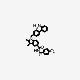 COc1ccc([C@H](C)NC(=O)c2ccc3c(c2)c(C)c(C)n3Cc2ccc(-c3ccccc3N)cc2)cc1